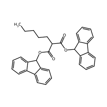 CCCCCC(C(=O)OC1c2ccccc2-c2ccccc21)C(=O)OC1c2ccccc2-c2ccccc21